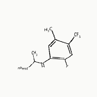 CCCCCC(C)Nc1cc(C)c(C(F)(F)F)cc1F